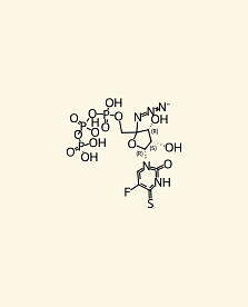 [N-]=[N+]=NC1(COP(=O)(O)OP(=O)(O)OP(=O)(O)O)O[C@@H](n2cc(F)c(=S)[nH]c2=O)[C@@H](O)[C@H]1O